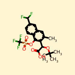 Cc1cc2cc(C(F)F)ccc2c(OS(=O)(=O)C(F)(F)F)c1C(OC(C)(C)C)C(=O)O